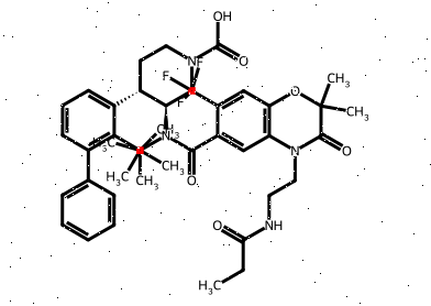 CCC(=O)NCCN1C(=O)C(C)(C)Oc2cc(C(F)(F)F)c(C(=O)N(C(C)C)[C@@H]3CN(C(=O)O)CC[C@H]3c3cccc(-c4ccccc4)c3C(C)(C)C)cc21